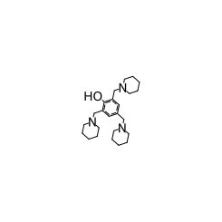 Oc1c(CN2CCCCC2)cc(CN2CCCCC2)cc1CN1CCCCC1